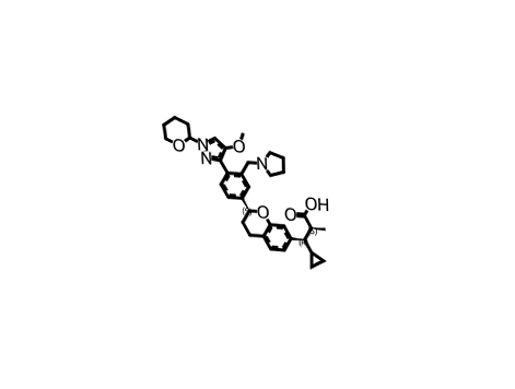 COc1cn(C2CCCCO2)nc1-c1ccc([C@@H]2CCc3ccc([C@H](C4CC4)[C@H](C)C(=O)O)cc3O2)cc1CN1CCCC1